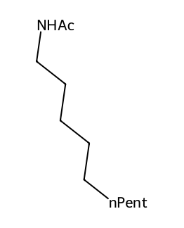 [CH2]CCCCCCCCCNC(C)=O